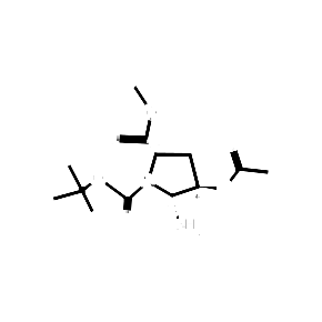 B[C@H]1[C@H](OC(C)=O)C[C@@H](C(=O)OC)N1C(=O)OC(C)(C)C